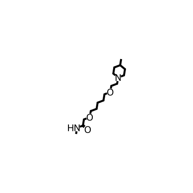 CNC(=O)COCCCCCOCCN1CCC(C)CC1